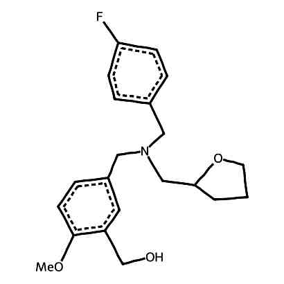 COc1ccc(CN(Cc2ccc(F)cc2)CC2CCCO2)cc1CO